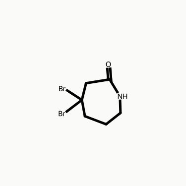 O=C1CC(Br)(Br)CCCN1